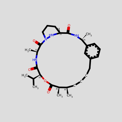 CC(C)[C@@H]1OC(=O)[C@H](C)[C@H](C)CCCCc2cccc(c2)[C@@H](C)NC(=O)[C@@H]2CCCN(N2)C(=O)[C@H](C)NC1=O